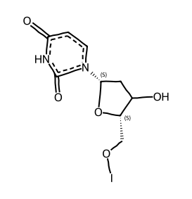 O=c1ccn([C@@H]2CC(O)[C@H](COI)O2)c(=O)[nH]1